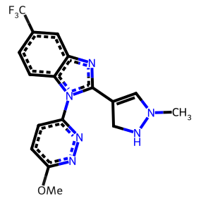 COc1ccc(-n2c(C3=CN(C)NC3)nc3cc(C(F)(F)F)ccc32)nn1